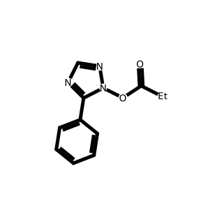 CCC(=O)On1ncnc1-c1ccccc1